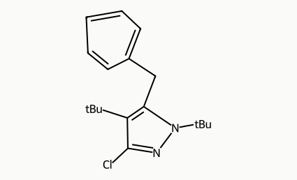 CC(C)(C)c1c(Cl)nn(C(C)(C)C)c1Cc1ccccc1